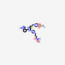 CCONC(=O)CCCN1CCN(c2nc(-c3cccc4[nH]ncc34)nc3cc(CN4CCN(S(C)(=O)=O)CC4)sc23)CC1